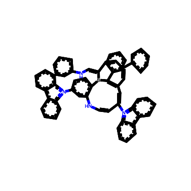 C1=C\C(n2c3ccccc3c3ccccc32)=C/C2=C(c3ccccc3)B(C(=C\Nc3ccccc3)/C=C\C(c3ccccc3)=C/2)c2ccc(-n3c4ccccc4c4ccccc43)cc2N/1